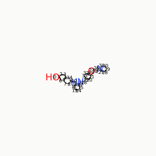 Oc1ccc2c(c1)CCC(Cc1ccccc1NCc1ccc(OCCN3CCCCC3)cc1)C2